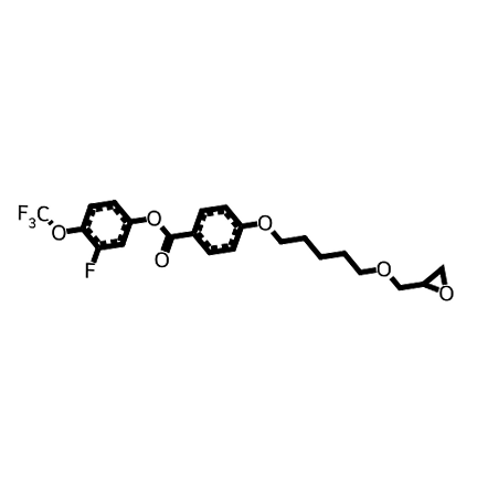 O=C(Oc1ccc(OC(F)(F)F)c(F)c1)c1ccc(OCCCCCOCC2CO2)cc1